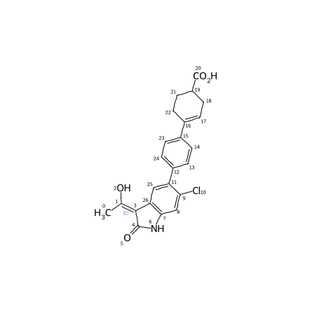 C/C(O)=C1\C(=O)Nc2cc(Cl)c(-c3ccc(C4=CCC(C(=O)O)CC4)cc3)cc21